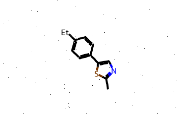 CCc1ccc(-c2cnc(C)s2)cc1